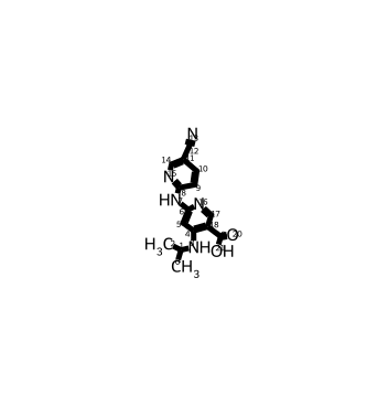 CC(C)Nc1cc(Nc2ccc(C#N)cn2)ncc1C(=O)O